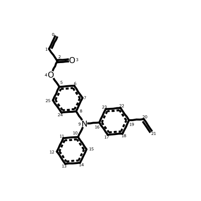 C=CC(=O)Oc1ccc(N(c2ccccc2)c2ccc(C=C)cc2)cc1